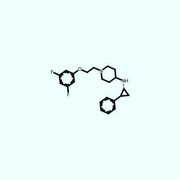 Fc1cc(F)cc(OCCN2CCC(N[C@@H]3CC3c3ccccc3)CC2)c1